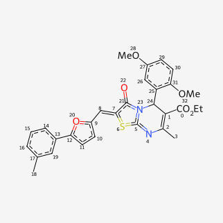 CCOC(=O)C1=C(C)N=c2s/c(=C\c3ccc(-c4cccc(C)c4)o3)c(=O)n2C1c1cc(OC)ccc1OC